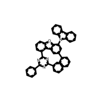 c1ccc(-c2cc(-n3c4ccccc4c4ccccc43)c3oc4cccc(-c5nc(-c6ccccc6)nc(-c6ccccc6)n5)c4c3c2)cc1